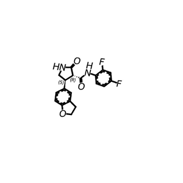 O=C1NC[C@H](c2ccc3c(c2)CCO3)[C@H]1C(=O)Nc1ccc(F)cc1F